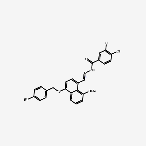 COc1cccc2c(OCc3ccc(C(C)C)cc3)ccc(/C=N/NC(=O)c3ccc(O)c(Cl)c3)c12